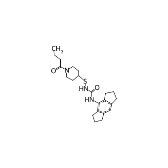 CCCC(=O)N1CCC(SNC(=O)Nc2c3c(cc4c2CCC4)CCC3)CC1